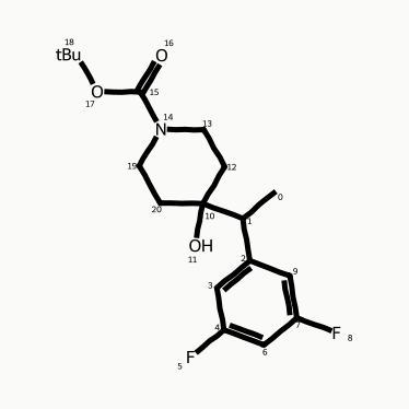 CC(c1cc(F)cc(F)c1)C1(O)CCN(C(=O)OC(C)(C)C)CC1